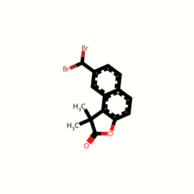 CC1(C)C(=O)Oc2ccc3ccc(C(Br)Br)cc3c21